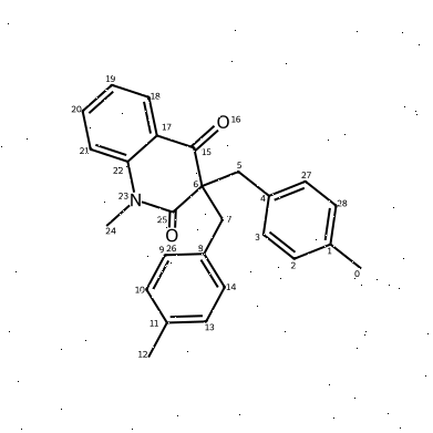 Cc1ccc(CC2(Cc3ccc(C)cc3)C(=O)c3ccccc3N(C)C2=O)cc1